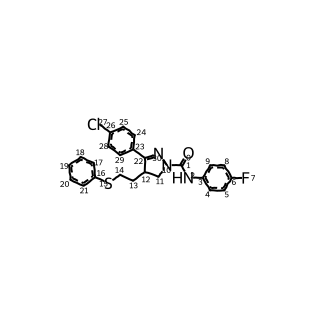 O=C(Nc1ccc(F)cc1)N1CC(CCSc2ccccc2)C(c2ccc(Cl)cc2)=N1